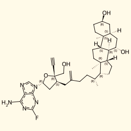 C#C[C@]1(CO)O[C@@H](n2cnc3c(N)nc(F)nc32)C[C@@H]1CC(=C)CC[C@@H](C)[C@H]1CC[C@H]2[C@@H]3[C@@H](O)C[C@@H]4C[C@H](O)CC[C@]4(C)[C@H]3CC[C@]12C